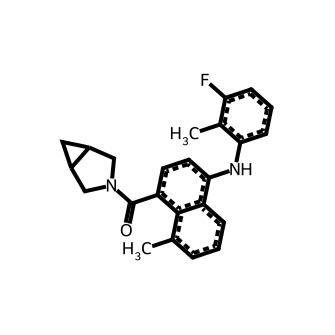 Cc1c(F)cccc1Nc1ccc(C(=O)N2CC3CC3C2)c2c(C)cccc12